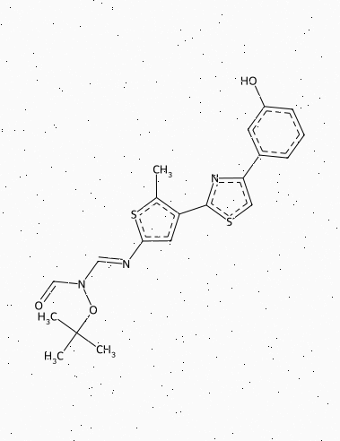 Cc1sc(N=CN(C=O)OC(C)(C)C)cc1-c1nc(-c2cccc(O)c2)cs1